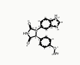 CCCOc1ccc([C@H]2C(=O)NC(=O)N2c2ccc3[nH]cnc3c2)cc1